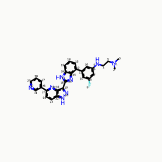 CN(C)CCNc1cc(F)cc(-c2cccc3[nH]c(-c4n[nH]c5ccc(-c6cccnc6)nc45)nc23)c1